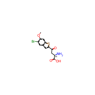 COc1cc2sc(C(=O)C[C@@H](N)C(=O)O)cc2cc1Br